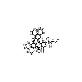 CCCNC(=O)c1ccc(C(=O)O)c(C2=c3cc4c5c(c3Oc3c2cc2c6c3CCCN6CCC2)CCC[N+]=5CCC4)c1